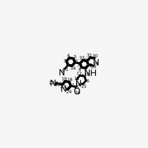 N#Cc1cccc(-c2cc(NC3CCN(C(=O)c4ccc(C#N)nc4)CC3)c3cnccc3c2)c1